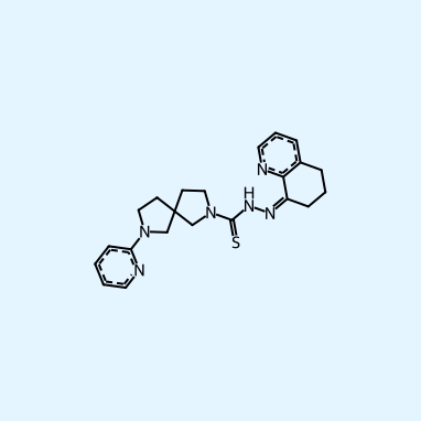 S=C(N/N=C1/CCCc2cccnc21)N1CCC2(CCN(c3ccccn3)C2)C1